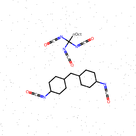 CCCCCCCCC(N=C=O)(N=C=O)N=C=O.O=C=NC1CCC(CC2CCC(N=C=O)CC2)CC1